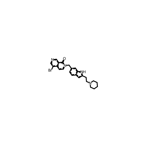 O=c1c2cncc(Br)c2ccn1Cc1ccc2cc(CCN3CCCCC3)[nH]c2c1